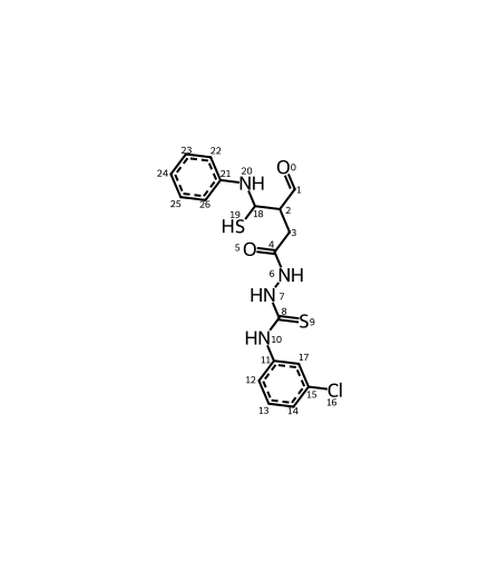 O=CC(CC(=O)NNC(=S)Nc1cccc(Cl)c1)C(S)Nc1ccccc1